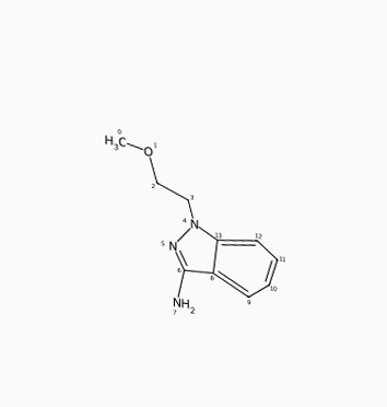 COCCn1nc(N)c2ccccc21